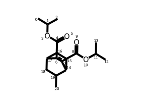 CC(C)OC(=O)C1=C(C(=O)OC(C)C)C2CCC1CC2C